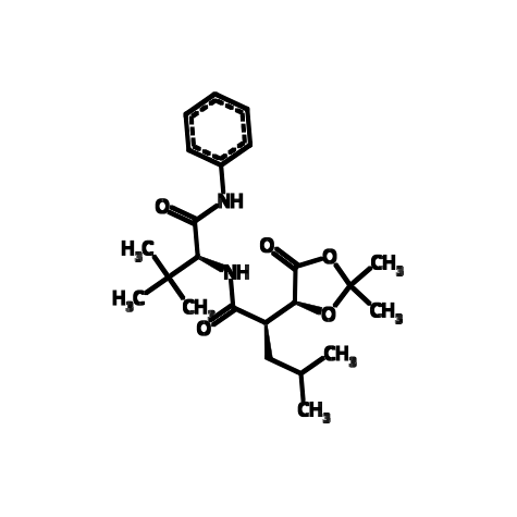 CC(C)C[C@@H](C(=O)N[C@H](C(=O)Nc1ccccc1)C(C)(C)C)[C@@H]1OC(C)(C)OC1=O